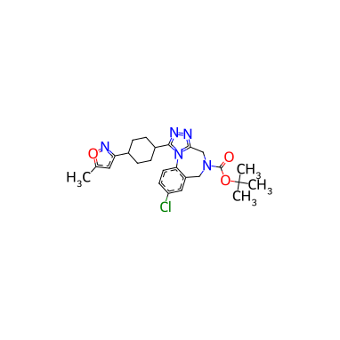 Cc1cc(C2CCC(c3nnc4n3-c3ccc(Cl)cc3CN(C(=O)OC(C)(C)C)C4)CC2)no1